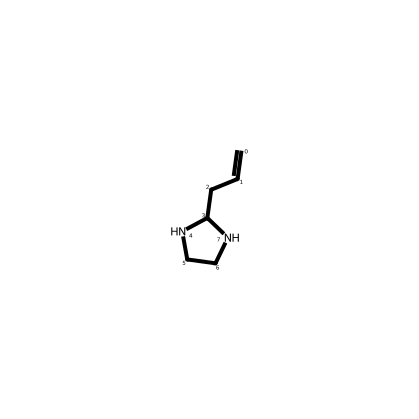 C=CC[C]1NCCN1